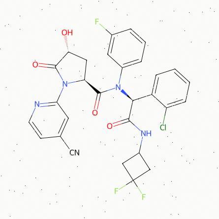 N#Cc1ccnc(N2C(=O)[C@H](O)C[C@H]2C(=O)N(c2cccc(F)c2)[C@H](C(=O)NC2CC(F)(F)C2)c2ccccc2Cl)c1